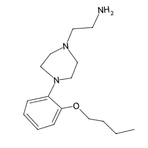 CCCCOc1ccccc1N1CCN(CCN)CC1